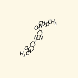 COCCN(C)C(=O)c1ccc2ncc(-c3ccc4c(=O)n(C)ccc4c3)nc2c1